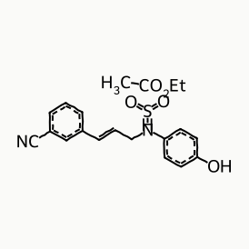 CCOC(C)=O.N#Cc1cccc(/C=C/CN(c2ccc(O)cc2)[SH](=O)=O)c1